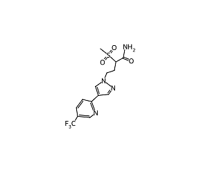 CS(=O)(=O)C(CCn1cc(-c2ccc(C(F)(F)F)cn2)cn1)C(N)=O